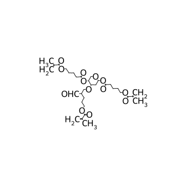 C=C(C)C(=O)OCCCCC(=O)OC1C[C@H](OCC(C=O)CCCOC(=O)C(=C)C)[C@H](OC(=O)CCCCOC(=O)C(=C)C)CO1